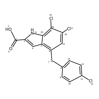 O=C(O)c1cc2c(Sc3ccc(Cl)cc3)cc(Cl)c(Cl)c2[nH]1